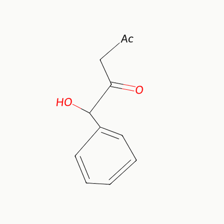 CC(=O)CC(=O)C(O)c1ccccc1